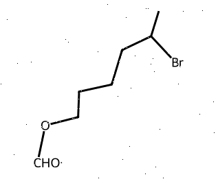 CC(Br)CCCCO[C]=O